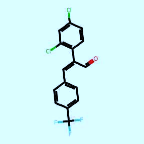 O=CC(=Cc1ccc(C(F)(F)F)cc1)c1ccc(Cl)cc1Cl